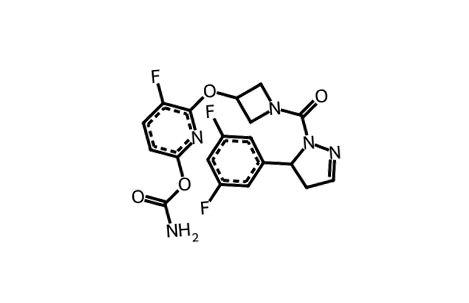 NC(=O)Oc1ccc(F)c(OC2CN(C(=O)N3N=CCC3c3cc(F)cc(F)c3)C2)n1